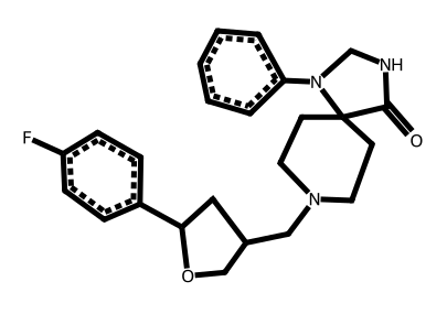 O=C1NCN(c2ccccc2)C12CCN(CC1COC(c3ccc(F)cc3)C1)CC2